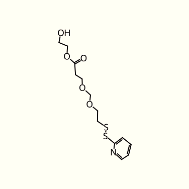 O=C(CCOCOCCSSc1ccccn1)OCCO